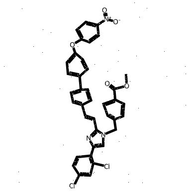 COC(=O)c1ccc(Cn2cc(-c3ccc(Cl)cc3Cl)nc2/C=C/c2ccc(-c3ccc(Oc4ccc([N+](=O)[O-])cc4)cc3)cc2)cc1